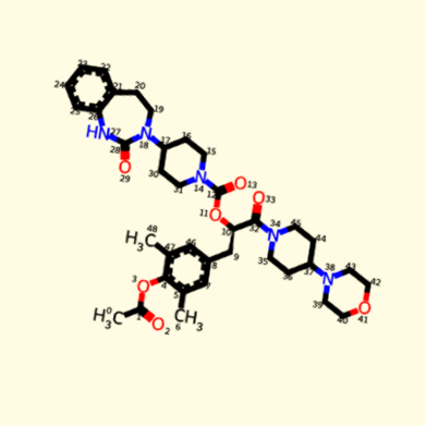 CC(=O)Oc1c(C)cc(C[C@@H](OC(=O)N2CCC(N3CCc4ccccc4NC3=O)CC2)C(=O)N2CCC(N3CCOCC3)CC2)cc1C